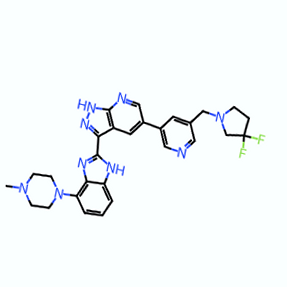 CN1CCN(c2cccc3[nH]c(-c4n[nH]c5ncc(-c6cncc(CN7CCC(F)(F)C7)c6)cc45)nc23)CC1